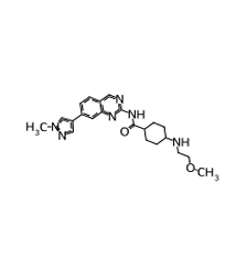 COCCNC1CCC(C(=O)Nc2ncc3ccc(-c4cnn(C)c4)cc3n2)CC1